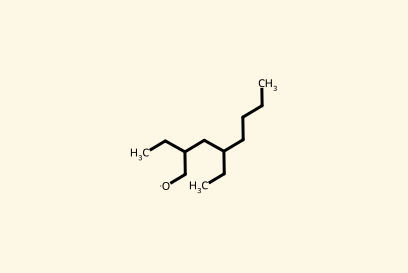 CCCCC(CC)CC(CC)C[O]